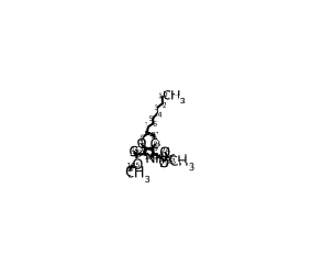 CCCCCCCCC1COc2c(C(=O)OCC)[nH]c(C3OC(C)O3)c2OC1